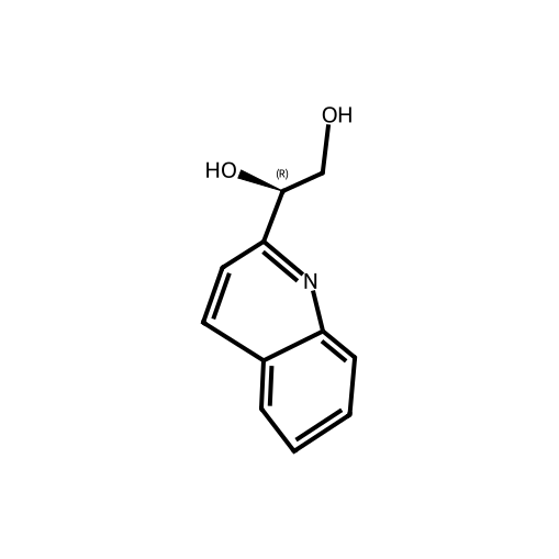 OC[C@H](O)c1ccc2ccccc2n1